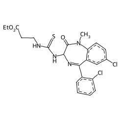 CCOC(=O)CCNC(=S)NC1N=C(c2ccccc2Cl)c2cc(Cl)ccc2N(C)C1=O